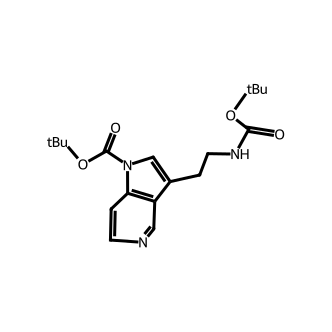 CC(C)(C)OC(=O)NCCc1cn(C(=O)OC(C)(C)C)c2ccncc12